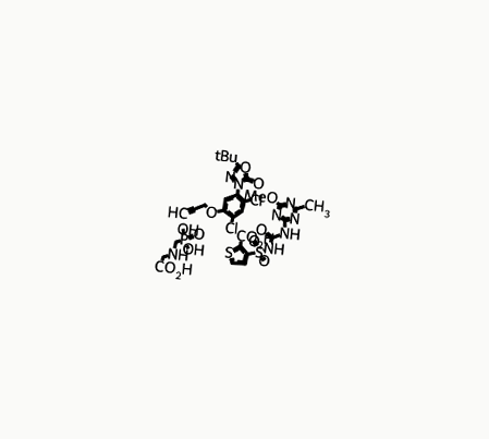 C#CCOc1cc(-n2nc(C(C)(C)C)oc2=O)c(Cl)cc1Cl.COc1nc(C)nc(NC(=O)NS(=O)(=O)c2ccsc2C(=O)O)n1.O=C(O)CNCP(=O)(O)O